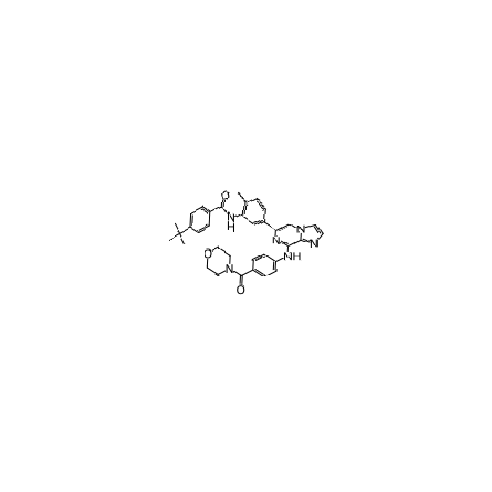 Cc1ccc(-c2cn3ccnc3c(Nc3ccc(C(=O)N4CCOCC4)cc3)n2)cc1NC(=O)c1ccc(C(C)(C)C)cc1